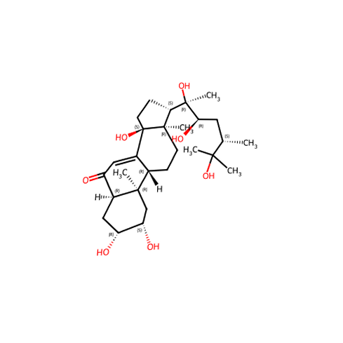 C[C@@H](C[C@@H](O)[C@](C)(O)[C@H]1CC[C@@]2(O)C3=CC(=O)[C@@H]4C[C@@H](O)[C@@H](O)C[C@]4(C)[C@H]3CC[C@]12C)C(C)(C)O